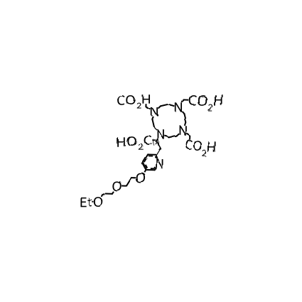 CCOCCOCCOc1ccc(C[C@@H](C(=O)O)N2CCN(CC(=O)O)CCN(CC(=O)O)CCN(CC(=O)O)CC2)nc1